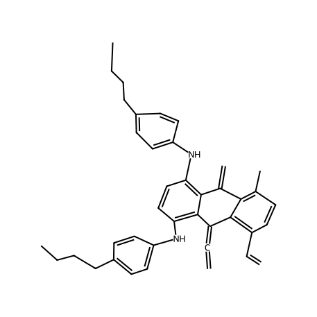 C=C=c1c2c(C=C)ccc(C)c2c(=C)c2c(Nc3ccc(CCCC)cc3)ccc(Nc3ccc(CCCC)cc3)c12